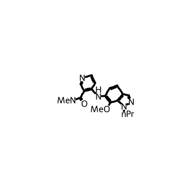 CCCn1ncc2ccc(Nc3ccncc3C(=O)NC)c(OC)c21